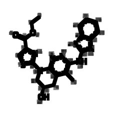 CCOC(=O)c1csc(N2C[C@H](O)Cc3c2nnc(Nc2nc4ccccc4s2)c3C)n1